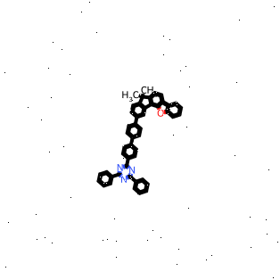 CC1(C)c2ccc(-c3ccc(-c4ccc(-c5nc(-c6ccccc6)nc(-c6ccccc6)n5)cc4)cc3)cc2-c2c1ccc1c2oc2ccccc21